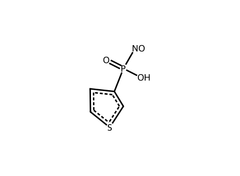 O=NP(=O)(O)c1ccsc1